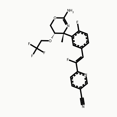 C[C@]1(c2cc(/C=C(\F)c3ccc(C#N)cn3)ccc2F)N=C(N)OC[C@H]1OCC(F)(F)F